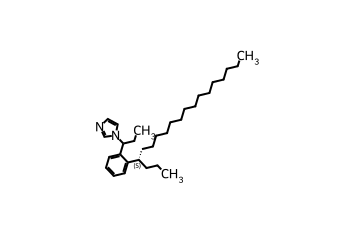 CCCCCCCCCCCCCCC[C@H](CCC)c1ccccc1C(CC)n1ccnc1